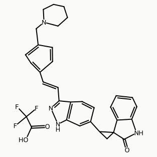 O=C(O)C(F)(F)F.O=C1Nc2ccccc2C12CC2c1ccc2c(/C=C/c3ccc(CN4CCCCC4)cc3)n[nH]c2c1